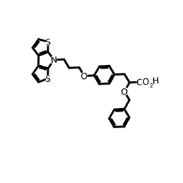 O=C(O)C(Cc1ccc(OCCCn2c3sccc3c3ccsc32)cc1)OCc1ccccc1